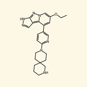 CCOc1cc(-c2ccc(N3CCC4(CCCNC4)CC3)nc2)c2c3cn[nH]c3nn2c1